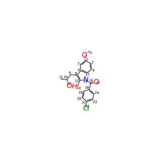 COc1ccc2c(c1)c(CC(C)O)c(C)n2C(=O)c1ccc(Cl)cc1